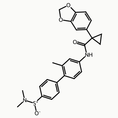 Cc1cc(NC(=O)C2(c3ccc4c(c3)OCO4)CC2)ccc1-c1ccc([S+]([O-])N(C)C)cc1